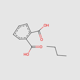 CCCC.O=C(O)c1ccccc1C(=O)O